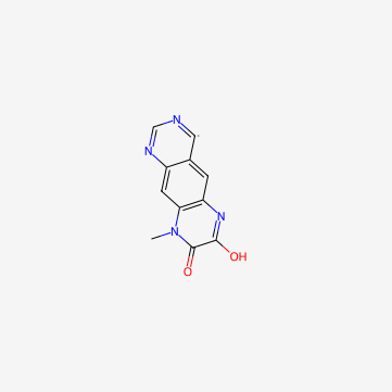 Cn1c(=O)c(O)nc2cc3[c]ncnc3cc21